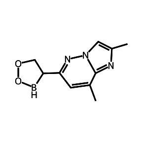 Cc1cn2nc(C3BOOC3)cc(C)c2n1